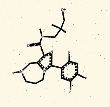 CN1CCCn2c(-c3cc(F)c(F)cc3F)nc(C(=O)N(C)CC(C)(C)CO)c2C1